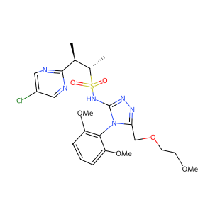 COCCOCc1nnc(NS(=O)(=O)[C@@H](C)[C@H](C)c2ncc(Cl)cn2)n1-c1c(OC)cccc1OC